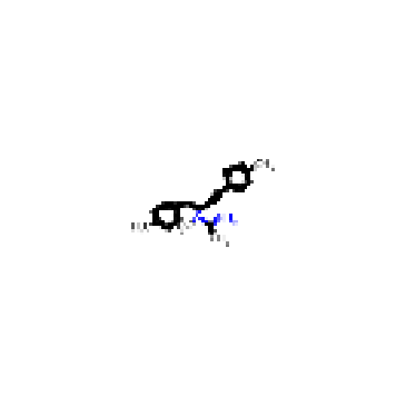 C=C(N)N(C)C(C#Cc1ccc(C)cc1)Cc1ccc(C)cc1